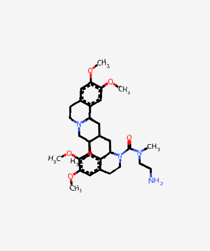 CCC1CN2CCc3cc(OC)c(OC)cc3C2CC1CC1c2cc(OC)c(OC)cc2CCN1C(=O)N(C)CCN